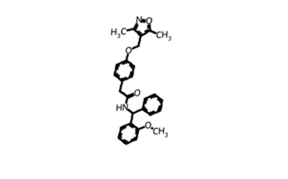 COc1ccccc1C(NC(=O)Cc1ccc(OCc2c(C)noc2C)cc1)c1ccccc1